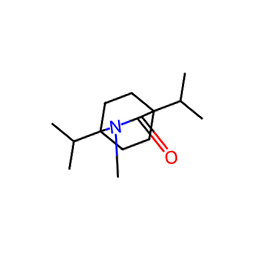 CC(C)C12CCC(C(C)C)(CC1)N(C)C2=O